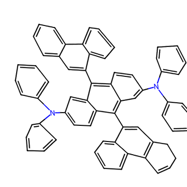 C1=Cc2c(cc(-c3c4cc(N(c5ccccc5)c5ccccc5)ccc4c(-c4cc5ccccc5c5ccccc45)c4cc(N(c5ccccc5)c5ccccc5)ccc34)c3ccccc23)CC1